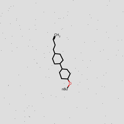 C=CCCC1CCC(C2CCC(OCCCC)CC2)CC1